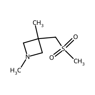 CN1CC(C)(CS(C)(=O)=O)C1